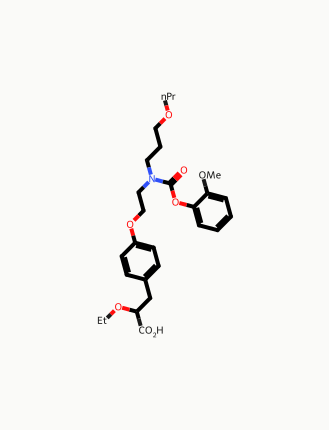 CCCOCCCN(CCOc1ccc(CC(OCC)C(=O)O)cc1)C(=O)Oc1ccccc1OC